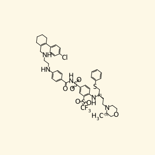 C[C@H]1COCCN1CC[C@H](CSc1ccccc1)Nc1ccc(S(=O)(=O)NC(=O)c2ccc(NCCNCC3=C(c4ccc(Cl)cc4)CCCC3)cc2)cc1S(=O)(=O)C(F)(F)F